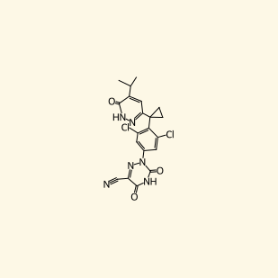 CC(C)c1cc(C2(c3c(Cl)cc(-n4nc(C#N)c(=O)[nH]c4=O)cc3Cl)CC2)n[nH]c1=O